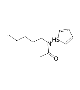 [CH2]CCCCN(C(C)=O)[SH]1C=CC=C1